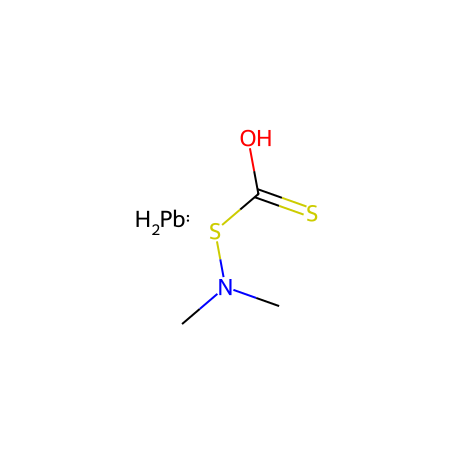 CN(C)SC(O)=S.[PbH2]